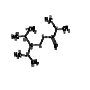 CC(C)C(=O)CCN(C(C)C)C(C)C